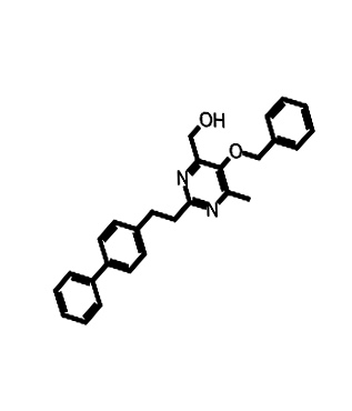 Cc1nc(CCc2ccc(-c3ccccc3)cc2)nc(CO)c1OCc1ccccc1